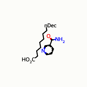 CCCCCCCCCCCCCCCCCC(=O)O.NC(=O)c1cccnc1